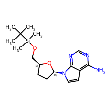 CC(C)(C)[Si](C)(C)OC[C@@H]1CC[C@H](n2ccc3c(N)ncnc32)O1